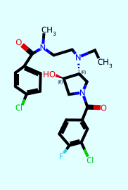 CCN(CCN(C)C(=O)c1ccc(Cl)cc1)[C@@H]1CN(C(=O)c2ccc(F)c(Cl)c2)C[C@H]1O